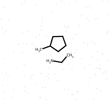 CC1CCCC1.CCN